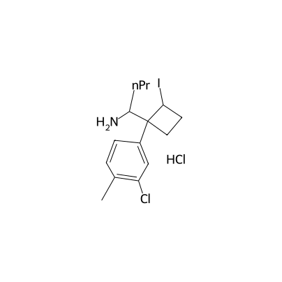 CCCC(N)C1(c2ccc(C)c(Cl)c2)CCC1I.Cl